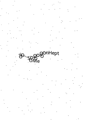 C=C(C)C(=O)OCCCCSc1ccc(C(=O)Oc2ccc(C(=O)Oc3ccc(CCCCCCC)cc3)cc2)cc1OC